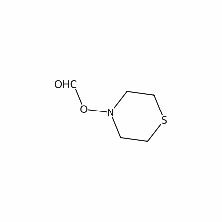 O=CON1CCSCC1